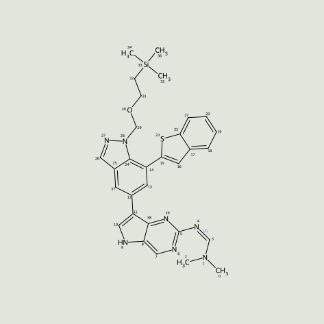 CN(C)/C=N\c1ncc2[nH]cc(-c3cc(-c4cc5ccccc5s4)c4c(cnn4COCC[Si](C)(C)C)c3)c2n1